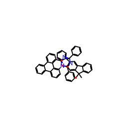 CC1(C)c2ccccc2-c2cc3c4ccccc4n(-c4cccc5c6ccccc6c6cccc(-c7nc(-c8ccccc8)nc(-c8ccccc8)n7)c6c45)c3cc21